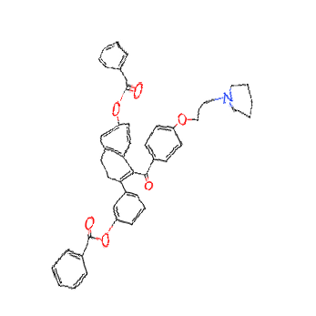 O=C(Oc1cccc(C2=C(C(=O)c3ccc(OCCN4CCCCC4)cc3)c3ccc(OC(=O)c4ccccc4)cc3CC2)c1)c1ccccc1